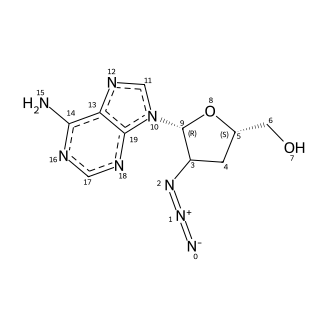 [N-]=[N+]=NC1C[C@@H](CO)O[C@H]1n1cnc2c(N)ncnc21